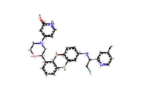 Cc1ccnc(C(CF)Nc2ccc3c(c2)Sc2cccc(C4CN(c5cc[nH]c(=O)c5)CCO4)c2S3)c1